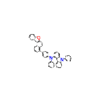 c1ccc(N(c2ccc(-c3cccc4c3ccc3oc5ccccc5c34)cc2)c2cccc3c2c2ccccc2n3-c2ccccc2)cc1